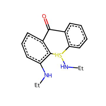 CCNc1cccc2c1[SH](NCC)c1ccccc1C2=O